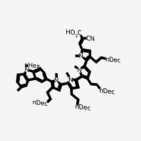 CCCCCCCCCCCCc1cc(/C=C(\C#N)C(=O)O)n(C)c1-c1cc(CCCCCCCCCCCC)c(-c2cc(CCCCCCCCCCCC)c(-c3cc(CCCCCCCCCCCC)c(-c4ccc5c(c4)c4cc(C)ccc4n5CCCCCC)n3C)n2C)n1C